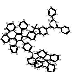 CC1(C)c2cc(-c3nc(-c4ccccc4)nc(-c4ccccc4)n3)ccc2-c2ccc(-c3c(-c4ccc(-n5c6ccccc6c6c7c(ccc65)-c5ccccc5C75c6ccccc6-c6ccccc65)cc4)c(-c4ccccc4)c4c5ccccc5c5ccccc5c4c3-c3ccccc3)cc21